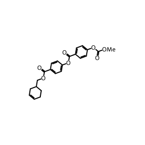 COC(=O)Oc1ccc(C(=O)Oc2ccc(C(=O)OCC3CC=CCC3)cc2)cc1